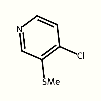 CSc1cnccc1Cl